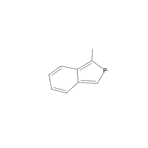 CC1=c2ccccc2=C[P]1